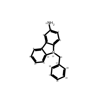 Nc1ccc2c(c1)c1ccccc1n2Cc1ccccc1